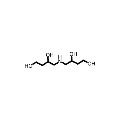 OCCC(O)CNCC(O)CCO